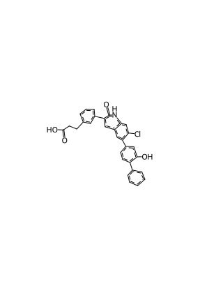 O=C(O)CCc1cccc(-c2cc3cc(-c4ccc(-c5ccccc5)c(O)c4)c(Cl)cc3[nH]c2=O)c1